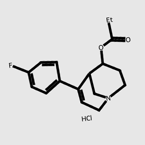 CCC(=O)OC1CCN2CC=C(c3ccc(F)cc3)C1C2.Cl